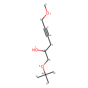 COCC#CCC(O)COC(C)(C)C